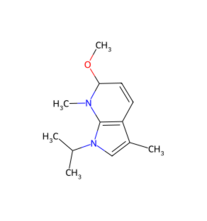 COC1C=Cc2c(C)cn(C(C)C)c2N1C